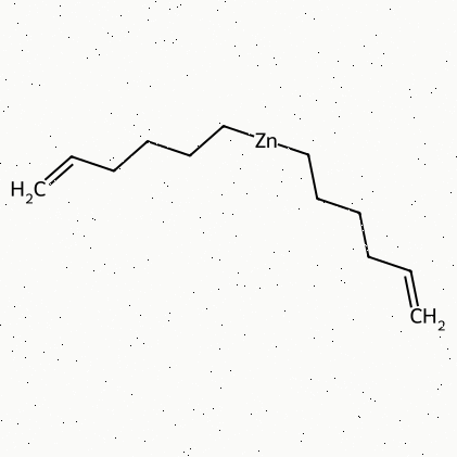 C=CCCC[CH2][Zn][CH2]CCCC=C